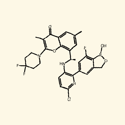 Cc1cc([C@@H](C)Nc2ccc(Cl)nc2-c2cc(F)c3c(c2)COB3O)c2oc(N3CCC(F)(F)CC3)c(C)c(=O)c2c1